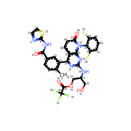 Cc1ccc(C(=O)Nc2nccs2)cc1-c1nc(NC(CO)COC(=O)C(F)(F)F)nc2c1ccc(=O)n2-c1c(F)cccc1F